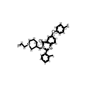 Cc1ccccc1-c1nc2ccc(Oc3ccc(F)cc3)cc2c(=O)n1CC1CCCN(CCF)C1